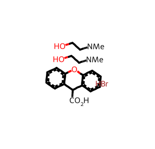 Br.CNCCO.CNCCO.O=C(O)C1c2ccccc2Oc2ccccc21